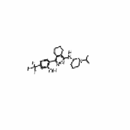 CC(C)N1CCC[C@@H](Nc2nnc(-c3ccc(C(F)(F)F)cc3O)c3c2CCCC3)C1